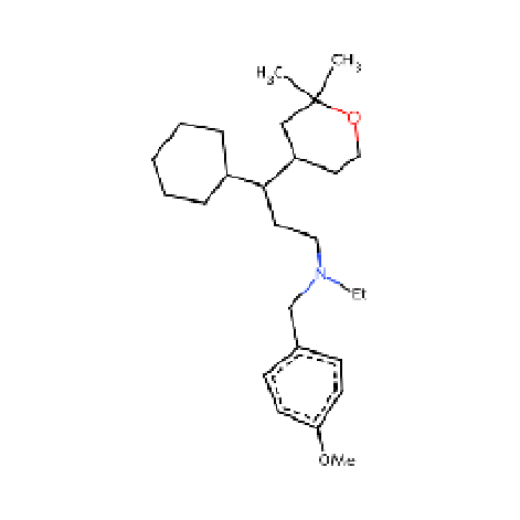 CCN(CCC(C1CCCCC1)C1CCOC(C)(C)C1)Cc1ccc(OC)cc1